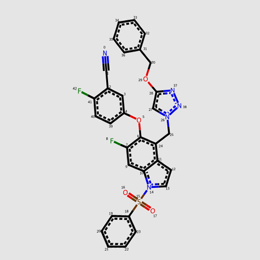 N#Cc1cc(Oc2c(F)cc3c(ccn3S(=O)(=O)c3ccccc3)c2Cn2cc(OCc3ccccc3)nn2)ccc1F